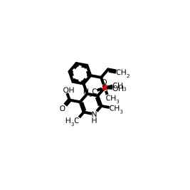 C=CC(c1ccccc1C1C(C(=O)O)=C(C)NC(C)=C1C(=O)O)[Si](C)(C)C